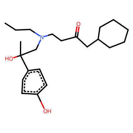 CCCN(CCC(=O)CC1CCCCC1)CC(C)(O)c1ccc(O)cc1